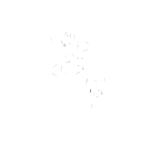 C[C@]1(C(N)=O)COc2c1cc([C@@](O)(CNC(=O)c1cc(Cl)c3nn(C(F)F)cc3c1)c1ccccc1)nc2-c1cc(Cl)c(F)cc1F